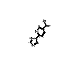 CC(Br)c1ccc(-n2cncn2)nc1